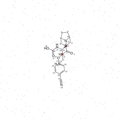 CCNC(=O)N1CC2CCC(C1)N2C[C@@H](COc1ccc(C#N)cc1)NC(=O)O